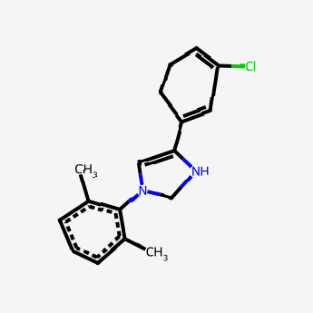 Cc1cccc(C)c1N1C=C(C2=CC(Cl)=CCC2)NC1